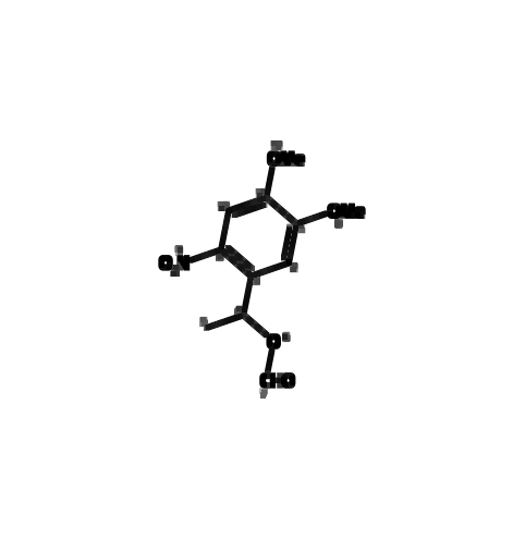 COc1cc(C(C)OC=O)c([N+](=O)[O-])cc1OC